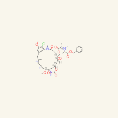 COc1cc2cc(c1Cl)N(C)C(=O)C[C@H](OC(=O)[C@H](C)N(C)C(C)C(=O)OCc1ccccc1)[C@]1(C)O[C@H]1[C@H](C)[C@@H]1C[C@@](O)(NC(=O)O1)[C@H](OC)/C=C/C=C(\C)C2